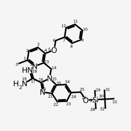 Cc1ccc(OCc2ccccc2)c(Cn2c(C(=N)N)nc3ccc(CO[Si](C)(C)C(C)(C)C)cc32)n1